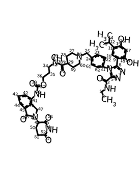 CCNC(=O)c1nnc(-c2cc(C(C)C)c(O)cc2O)n1-c1ccc(CN2CCC(C(=O)N(C)CCCOC(=O)Nc3cccc4c3CN(C3CCC(=O)NC3=O)C4=O)CC2)cc1